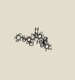 Cc1ccc(S(=O)(=O)NC(=O)c2ccc3[nH]c(C)c(Cc4ccc(OCC5CCCCC5)cc4Cl)c3c2)cc1